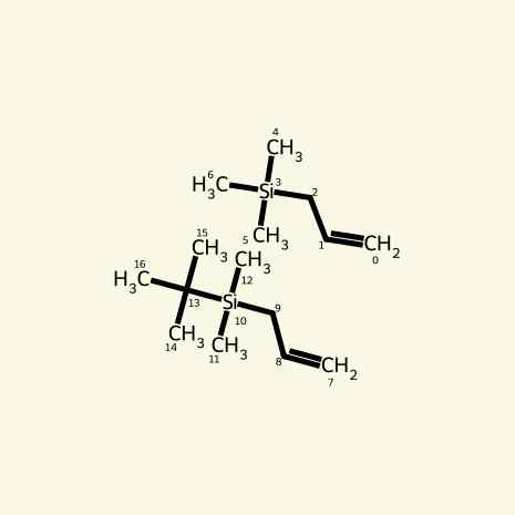 C=CC[Si](C)(C)C.C=CC[Si](C)(C)C(C)(C)C